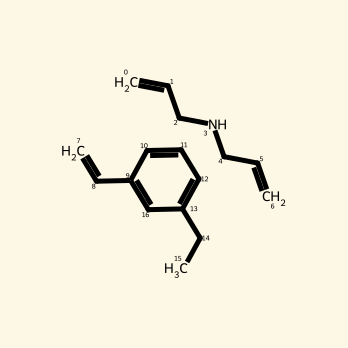 C=CCNCC=C.C=Cc1cccc(CC)c1